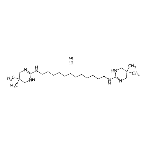 CC1(C)CN=C(NCCCCCCCCCCCCNC2=NCC(C)(C)CN2)NC1.I.I